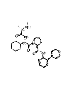 CN[C@@H](C)C(=O)N[C@H](C(=O)N1CCC[C@H]1C(=O)Nc1ncccc1-c1ccccc1)C1CCCCC1